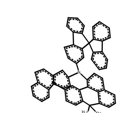 CC1(C)c2ccc(-c3cccc4ccccc34)cc2-c2c(N(c3ccccc3)c3ccc4c(c3)C3(c5ccccc5-c5ccccc53)c3ccccc3-4)ccc3cccc1c23